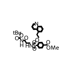 COC(=O)c1ccc(S(=O)(=O)NCCC(=O)NC(=O)OC(C)(C)C)c(OCCc2cccc3ncccc23)c1